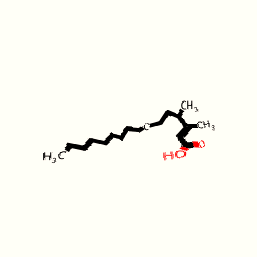 CCCCCCCCCCCCC(C)C(C)=CC(=O)O